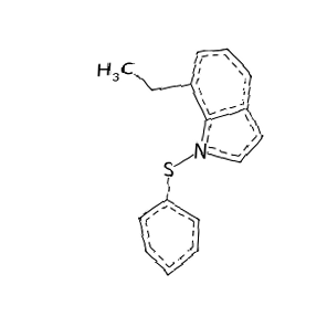 CCc1cccc2ccn(Sc3ccccc3)c12